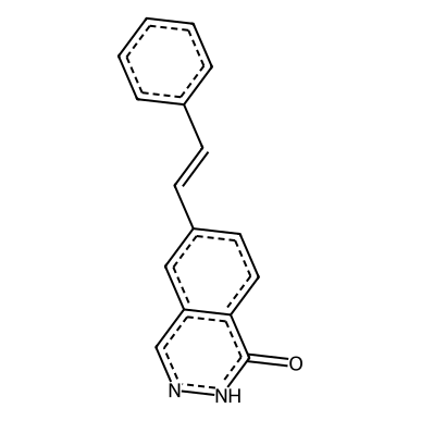 O=c1[nH]ncc2cc(C=Cc3ccccc3)ccc12